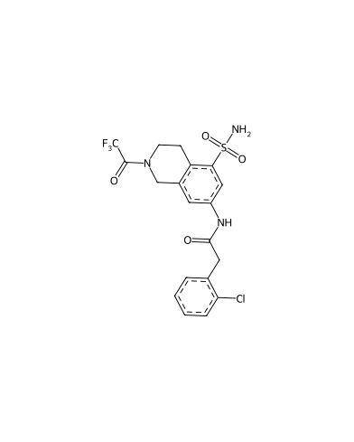 NS(=O)(=O)c1cc(NC(=O)Cc2ccccc2Cl)cc2c1CCN(C(=O)C(F)(F)F)C2